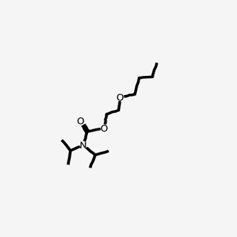 CCCCOCCOC(=O)N(C(C)C)C(C)C